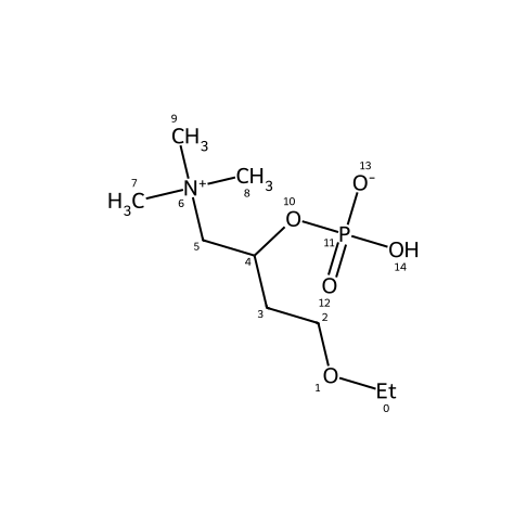 CCOCCC(C[N+](C)(C)C)OP(=O)([O-])O